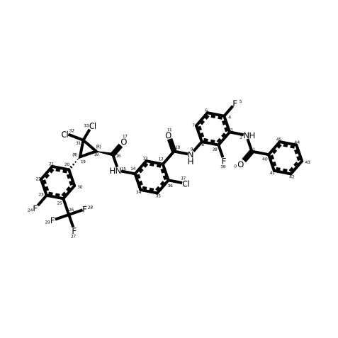 O=C(Nc1c(F)ccc(NC(=O)c2cc(NC(=O)[C@H]3[C@H](c4ccc(F)c(C(F)(F)F)c4)C3(Cl)Cl)ccc2Cl)c1F)c1ccccc1